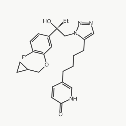 CC[C@@](O)(Cn1nncc1CCCCc1ccc(=O)[nH]c1)c1ccc(F)c(OCC2CC2)c1